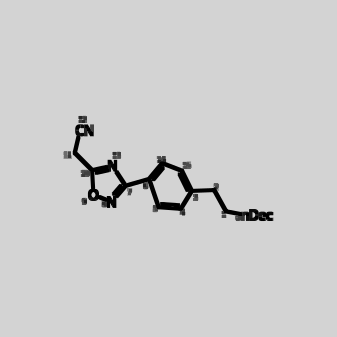 CCCCCCCCCCCCc1ccc(-c2noc(CC#N)n2)cc1